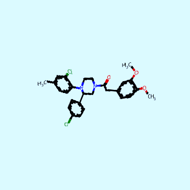 COc1ccc(CC(=O)N2CCN(c3ccc(C)cc3Cl)C(c3ccc(Cl)cc3)C2)cc1OC